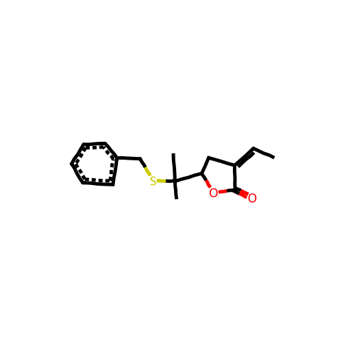 CC=C1CC(C(C)(C)SCc2ccccc2)OC1=O